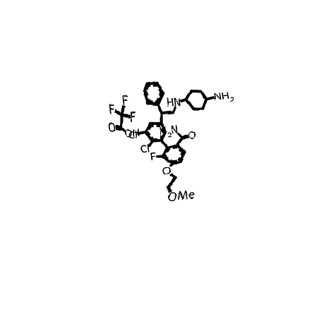 COCCOc1ccc(C(N)=O)c(-c2cc(C(CNC3CCC(N)CC3)c3ccccc3)cc(Cl)c2Cl)c1F.O=C(O)C(F)(F)F